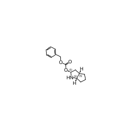 O=C(OCc1ccccc1)O[C@H]1C[C@@H]2CCC[C@@H]2N1